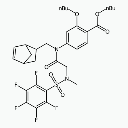 CCCCOC(=O)c1ccc(N(CC2CC3C=CC2C3)C(=O)CN(C)S(=O)(=O)c2c(F)c(F)c(F)c(F)c2F)cc1OCCCC